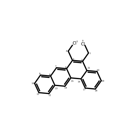 ClCc1c(CCl)c2cc3ccccc3cc2c2ccccc12